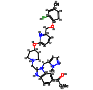 CCn1nccc1Cn1c(CN2CCC(Oc3cccc(COc4ccc(C#N)cc4F)n3)CC2)nc2ccc(C(=O)OC)cc21